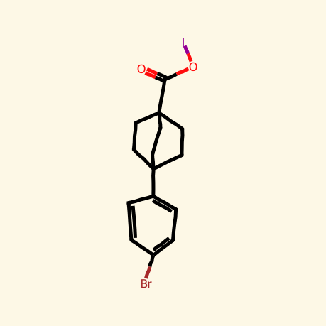 O=C(OI)C12CCC(c3ccc(Br)cc3)(CC1)CC2